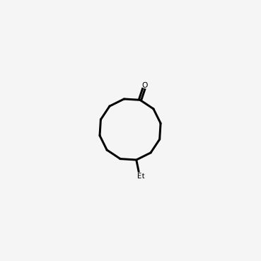 CCC1CCCCCCC(=O)CCCC1